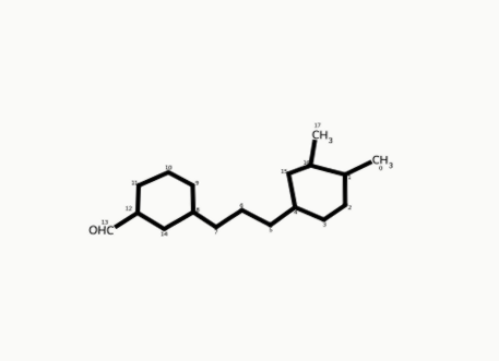 CC1CCC(CCCC2CCCC(C=O)C2)CC1C